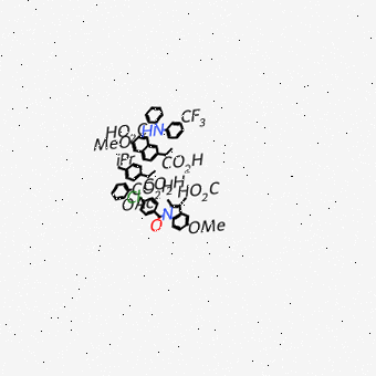 CC(=O)Oc1ccccc1C(=O)O.CC(C)Cc1ccc(C(C)C(=O)O)cc1.COc1ccc2c(c1)c(CC(=O)O)c(C)n2C(=O)c1ccc(Cl)cc1.COc1ccc2cc([C@H](C)C(=O)O)ccc2c1.O=C(O)c1ccccc1Nc1cccc(C(F)(F)F)c1